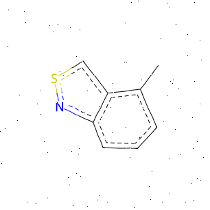 Cc1cccc2nscc12